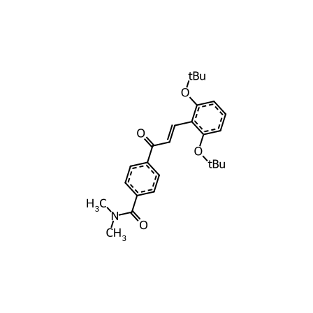 CN(C)C(=O)c1ccc(C(=O)C=Cc2c(OC(C)(C)C)cccc2OC(C)(C)C)cc1